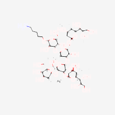 CC(=O)N[C@@H]1[C@@H]([C@H](O)[C@H](O)CO)O[C@](O[C@@H]2[C@@H](O)[C@H](O[C@H]3[C@H](O)[C@@H](CO[C@]4(C(=O)O)C[C@H](O)[C@@H](NC(C)=O)[C@H]([C@H](O)[C@H](O)CO)O4)O[C@@H](O[C@H]4[C@@H](O)[C@@H](CO)O[C@@H](OCCCCCN)[C@@H]4O)[C@@H]3NC(C)=O)O[C@H](CO)[C@@H]2O[C@@H]2O[C@H](CO)[C@H](O)[C@H](O)[C@H]2NC(C)=O)(C(=O)O)C[C@H]1O